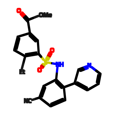 CCc1ccc(C(=O)OC)cc1S(=O)(=O)Nc1cc(C#N)ccc1-c1cccnc1